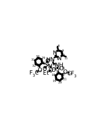 CCO[N+](=C(Nc1nc(C)cc(C)n1)NS(=O)(=O)c1ccccc1OC(F)(F)F)S(=O)(=O)c1ccccc1OC(F)(F)F